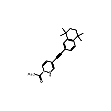 COC(=O)N1C=CC(C#Cc2ccc3c(c2)C(C)(C)CCC3(C)C)=CN1